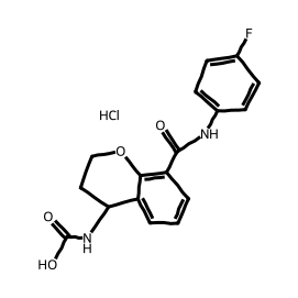 Cl.O=C(O)NC1CCOc2c(C(=O)Nc3ccc(F)cc3)cccc21